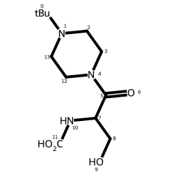 CC(C)(C)N1CCN(C(=O)C(CO)NC(=O)O)CC1